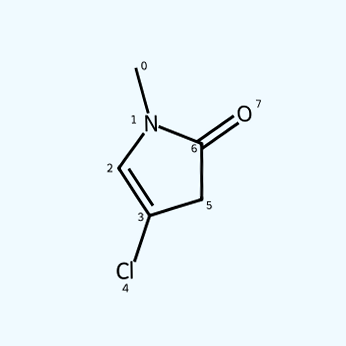 CN1C=C(Cl)CC1=O